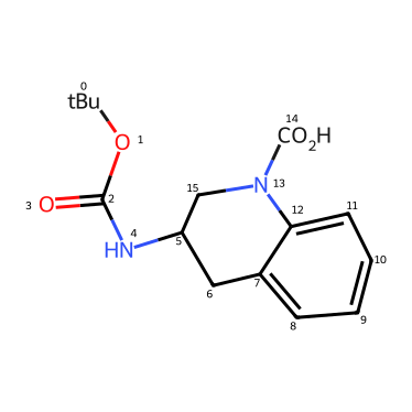 CC(C)(C)OC(=O)NC1Cc2ccccc2N(C(=O)O)C1